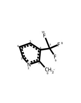 [CH2]c1ncccc1C(F)(F)F